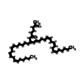 CCCCC/C=C\C/C=C\C/C=C\CCCCCC(CCCCC/C=C\C/C=C\C/C=C\CCCCC)CC(=O)CCCC(C)I